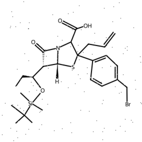 C=CCC1(c2ccc(CBr)cc2)S[C@@H]2[C@H]([C@H](CC)O[Si](C)(C)C(C)(C)C)C(=O)N2C1C(=O)O